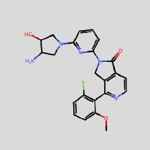 COc1cccc(F)c1-c1nccc2c1CN(c1cccc(N3CC(N)C(O)C3)n1)C2=O